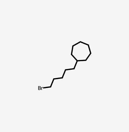 BrCCCCCC1CCCCCC1